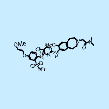 CCCS(=O)(=O)c1cc(OCCOC)ccc1Nc1nc([AsH]c2cc3c(cc2OC)CCN(CC(=O)N(C)C)CC3)ncc1Cl